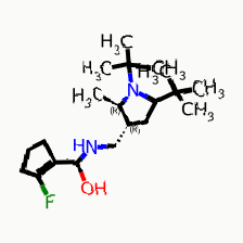 C[C@@H]1[C@@H](CNC(O)C2=C(F)CCC2)CC(C(C)(C)C)N1C(C)(C)C